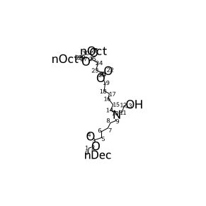 CCCCCCCCCCCOC(=O)CCCCCN(CCO)CCCCCCOC(=O)CCC(=O)OC(CCCCCCCC)CCCCCCCC